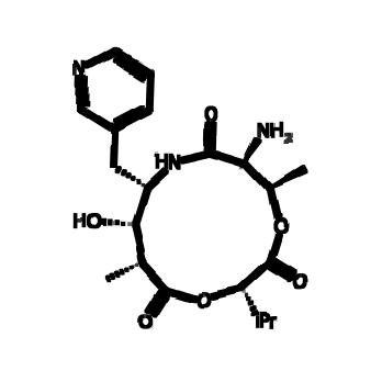 CC(C)[C@@H]1OC(=O)[C@H](C)[C@H](O)[C@H](Cc2cccnc2)NC(=O)[C@@H](N)[C@@H](C)OC1=O